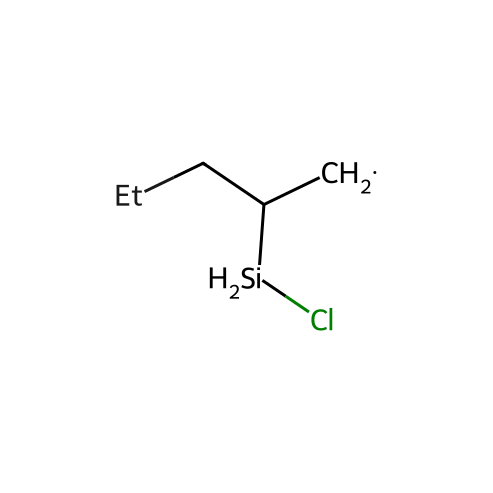 [CH2]C(CCC)[SiH2]Cl